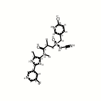 Cc1nc(-c2cncc(F)c2)sc1N(C)C(=O)C(C)CS(=O)(Cc1ccc(Cl)nc1)=NC#N